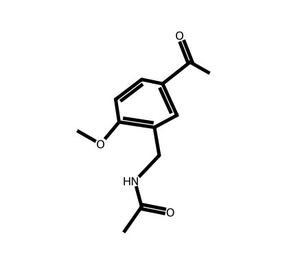 COc1ccc(C(C)=O)cc1CNC(C)=O